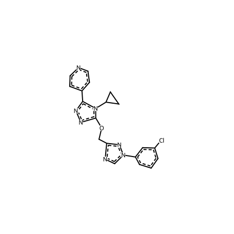 Clc1cccc(-n2cnc(COc3nnc(-c4ccncc4)n3C3CC3)n2)c1